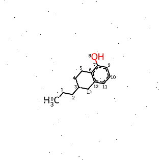 CCCC1CCc2c(O)cccc2C1